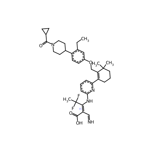 CCc1cc(OCC2=C(c3cccc(N/C(=C(\C=N)C(=O)O)C(C)(F)F)n3)CCCC2(C)C)ccc1C1CCN(C(=O)C2CC2)CC1